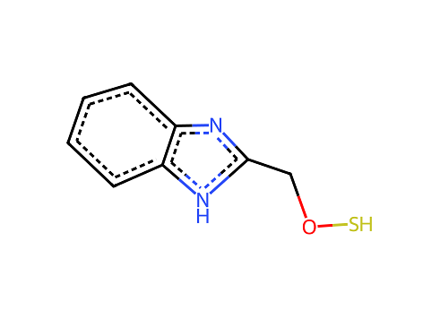 SOCc1nc2ccccc2[nH]1